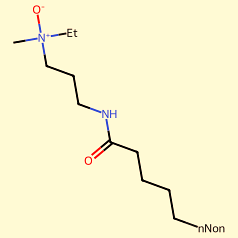 CCCCCCCCCCCCCC(=O)NCCC[N+](C)([O-])CC